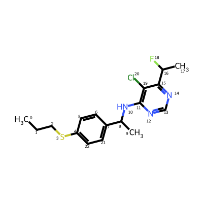 CCCSc1ccc(C(C)Nc2ncnc(C(C)F)c2Cl)cc1